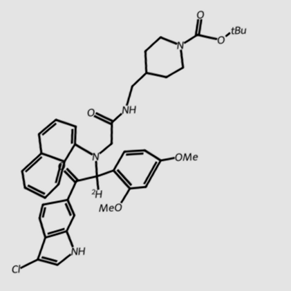 [2H]C(C(=O)c1ccc2c(Cl)c[nH]c2c1)(c1ccc(OC)cc1OC)N(CC(=O)NCC1CCN(C(=O)OC(C)(C)C)CC1)c1cccc2ccccc12